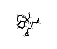 C(OCC1CO1)C1CO1.CCC(O)(O)c1ccccc1.COC